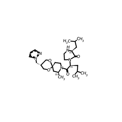 CC(C)C[C@@H]1NCCN([C@@H](CC(C)C)C(=O)N2CC[C@]3(C[C@@H]2C)OC[C@@H](Cn2cccn2)CO3)C1=O